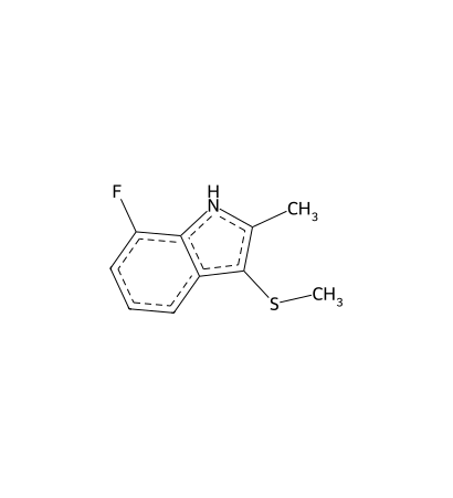 CSc1c(C)[nH]c2c(F)cccc12